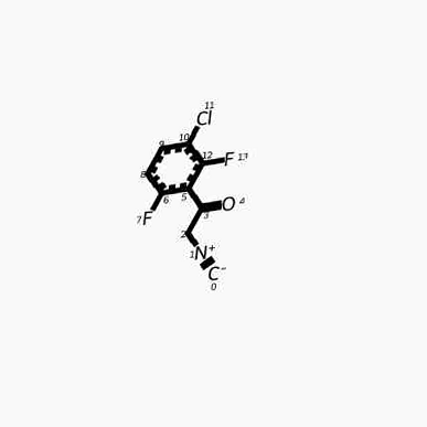 [C-]#[N+]CC(=O)c1c(F)ccc(Cl)c1F